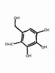 O=Cc1c(CO)cc(O)c(O)c1O